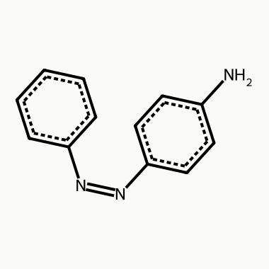 Nc1ccc(/N=N\c2ccccc2)cc1